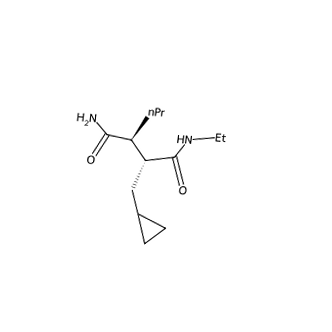 CCC[C@H](C(N)=O)[C@@H](CC1CC1)C(=O)NCC